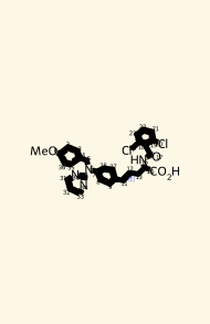 COc1ccc(CN(c2ccc(/C=C/CC(NC(=O)c3c(Cl)cccc3Cl)C(=O)O)cc2)c2ncccn2)cc1